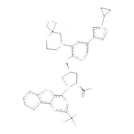 C[C@@H]1N(c2cc(-c3cnn(C4CC4)c3)cnc2O[C@H]2C[C@@H](C(=O)O)N(c3nc(C(F)(F)F)nc4c3oc3ccccc34)C2)CCOC12COC2